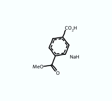 COC(=O)c1ccc(C(=O)O)cc1.[NaH]